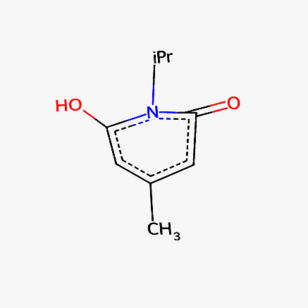 Cc1cc(O)n(C(C)C)c(=O)c1